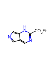 CCOC(=O)c1ncc2cncc-2[nH]1